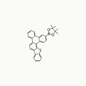 CC1(C)OB(c2ccc3c(c2)c2ccccc2c2ccc4c5ccccc5sc4c23)OC1(C)C